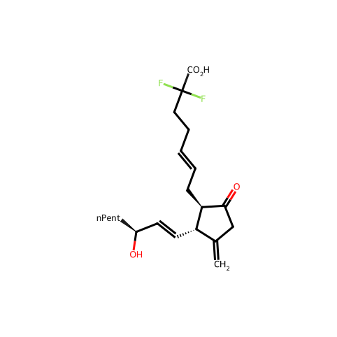 C=C1CC(=O)[C@H](CC=CCCC(F)(F)C(=O)O)[C@H]1C=C[C@@H](O)CCCCC